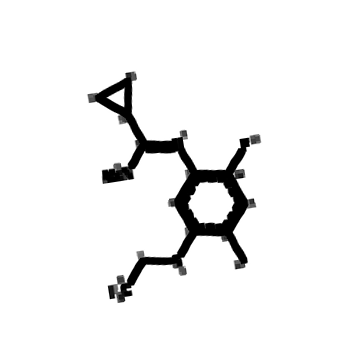 CN/C(=N\c1cc(SCC(F)(F)F)c(C)cc1F)C1CC1